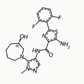 Cn1ncc(NC(=O)c2nc(-c3c(F)cccc3F)sc2N)c1N1CCCC[C@@H](O)C1